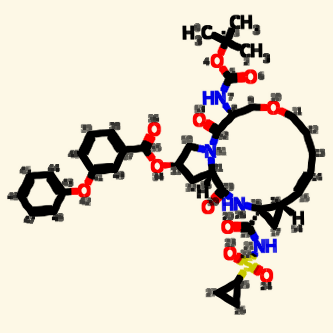 CC(C)(C)OC(=O)N[C@H]1COCCC/C=C\[C@@H]2C[C@@]2(C(=O)NS(=O)(=O)C2CC2)NC(=O)[C@@H]2C[C@@H](OC(=O)c3cccc(Oc4ccccc4)c3)CN2C1=O